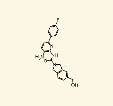 Nc1ccc(-c2ccc(F)cc2)nc1NC(=O)N1Cc2ccc(CO)cc2C1